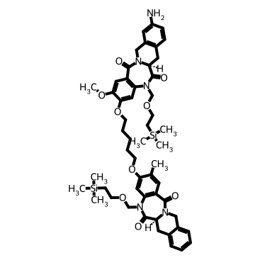 COc1cc2c(cc1OCCCCCOc1cc3c(cc1C)C(=O)N1Cc4ccccc4C[C@H]1C(=O)N3COCC[Si](C)(C)C)N(COCC[Si](C)(C)C)C(=O)[C@@H]1Cc3ccc(N)cc3CN1C2=O